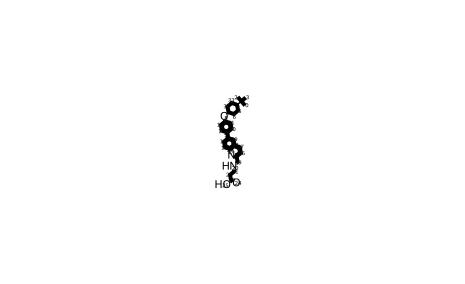 CC(C)(C)[C@H]1CC[C@H](Oc2ccc(-c3ccc4nc(CNCCC(=O)O)ccc4c3)cc2)CC1